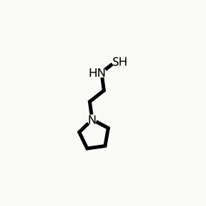 SNCCN1CCCC1